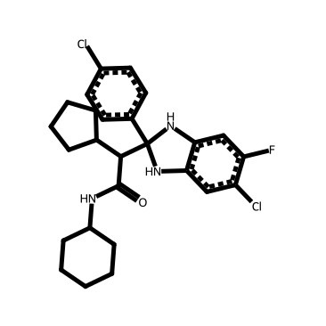 O=C(NC1CCCCC1)C(C1CCCC1)C1(c2ccc(Cl)cc2)Nc2cc(F)c(Cl)cc2N1